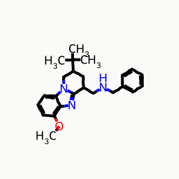 COc1cccc2c1nc1n2CC(C(C)(C)C)CC1CNCc1ccccc1